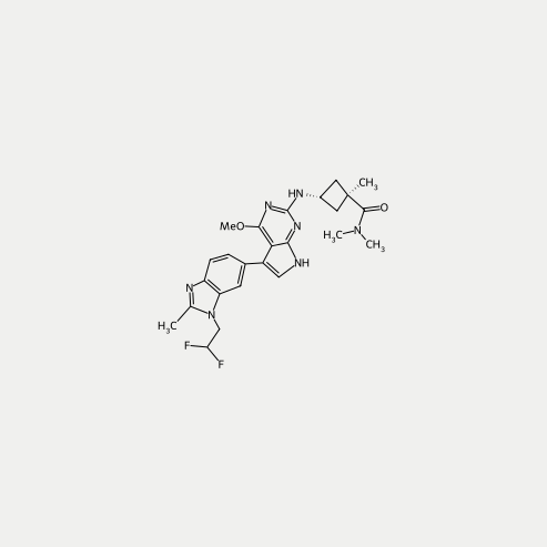 COc1nc(N[C@H]2C[C@](C)(C(=O)N(C)C)C2)nc2[nH]cc(-c3ccc4nc(C)n(CC(F)F)c4c3)c12